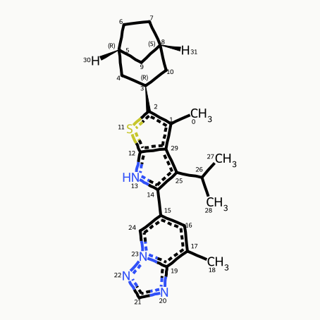 Cc1c([C@H]2C[C@@H]3CC[C@@H](C3)C2)sc2[nH]c(-c3cc(C)c4ncnn4c3)c(C(C)C)c12